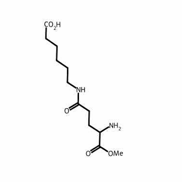 COC(=O)C(N)CCC(=O)NCCCCCC(=O)O